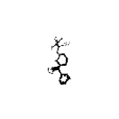 O=C(c1ccccc1)C1CCCN(C[C@H](O)C(F)(F)F)C1